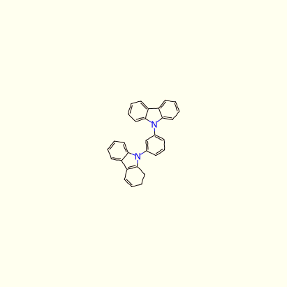 C1=Cc2c(n(-c3cccc(-n4c5ccccc5c5ccccc54)c3)c3ccccc23)CC1